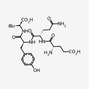 CC[C@H](C)[C@H](NC(=O)[C@H](Cc1ccc(O)cc1)NC(=O)[C@H](CCC(N)=O)NC(=O)[C@@H](N)CCC(=O)O)C(=O)O